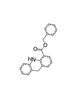 O=C(OCc1ccccc1)c1cccc2c1Nc1ccccc1C2